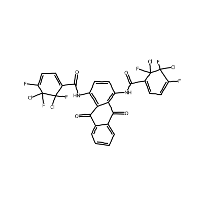 O=C(Nc1ccc(NC(=O)C2=CC=C(F)C(F)(Cl)C2(F)Cl)c2c1C(=O)c1ccccc1C2=O)C1=CC=C(F)C(F)(Cl)C1(F)Cl